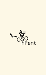 C=CCOS(=O)(=O)CCCCC.[Au]